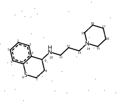 c1ccc2c(c1)SCCC2NCCCN1CCCCC1